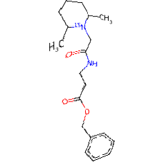 CC1CCCC(C)[15N]1CC(=O)NCCC(=O)OCc1ccccc1